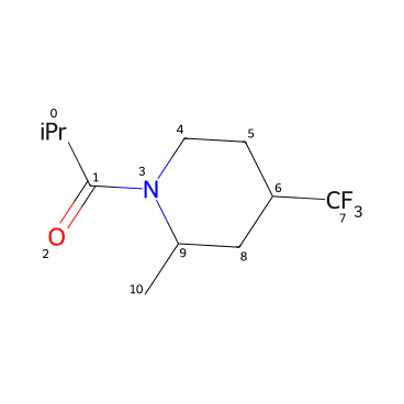 CC(C)C(=O)N1CCC(C(F)(F)F)CC1C